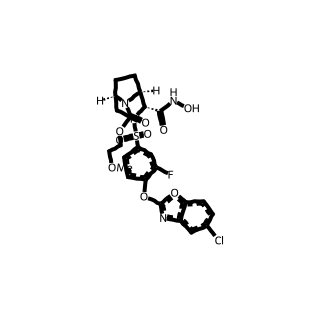 COCCOC(=O)N1[C@@H]2CC[C@H]1[C@H](C(=O)NO)N(S(=O)(=O)c1ccc(Oc3nc4cc(Cl)ccc4o3)c(F)c1)C2